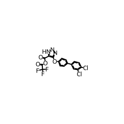 O=C(OC(=O)C(F)(F)F)c1[nH]nnc1Oc1ccc(-c2ccc(Cl)c(Cl)c2)cc1